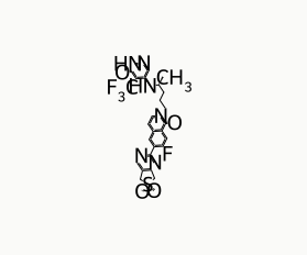 C[C@@H](CCCn1ccc2cc(-c3ncc4c(n3)CS(=O)(=O)C4)c(F)cc2c1=O)Nc1cn[nH]c(=O)c1C(F)(F)F